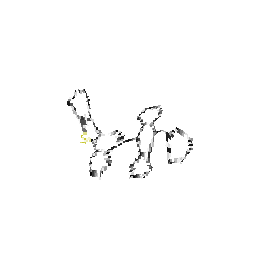 c1ccc(-c2c3ccccc3c(-c3cc4c5ccccc5sc4c4ccccc34)c3ccccc23)cc1